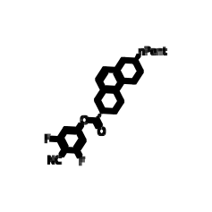 CCCCC[C@H]1CCc2c(ccc3c2CC[C@H](C(=O)Oc2cc(F)c(C#N)c(F)c2)C3)C1